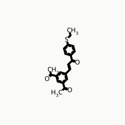 CCSc1ccc(C(=O)/C=C/c2cc(C(C)=O)cc(C(C)=O)c2)cc1